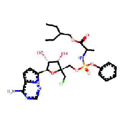 CCC(CC)COC(=O)C(C)NP(=O)(OC[C@@]1(CCl)O[C@@H](c2ccc3c(N)ncnn23)[C@H](O)[C@@H]1O)Oc1ccccc1